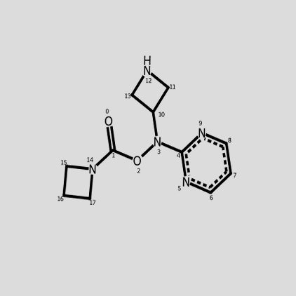 O=C(ON(c1ncccn1)C1CNC1)N1CCC1